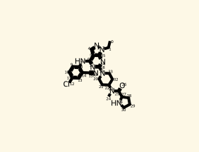 CCn1ncc2c(Nc3ccc(Cl)cc3C#N)nc(N3CCC(N(C)C(=O)C4CCCN4)CC3)nc21